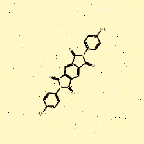 Nc1ccc(-n2c(=O)c3cc4c(=O)n(-c5ccc(N)cc5)c(=O)c4cc3c2=O)cc1